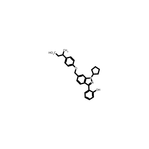 CC(CC(=O)O)c1ccc(OCc2ccc3c(-c4ccccc4O)nn(C4CCCC4)c3c2)cc1